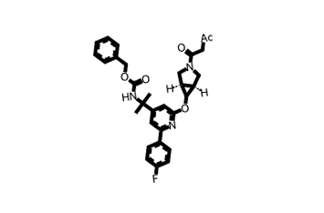 CC(=O)CC(=O)N1C[C@@H]2C(Oc3cc(C(C)(C)NC(=O)OCc4ccccc4)cc(-c4ccc(F)cc4)n3)[C@@H]2C1